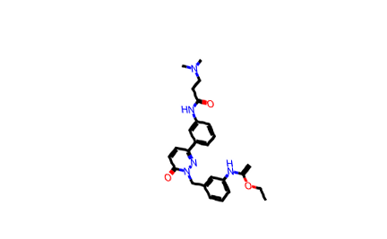 C=C(Nc1cccc(Cn2nc(-c3cccc(NC(=O)CCN(C)C)c3)ccc2=O)c1)OCC